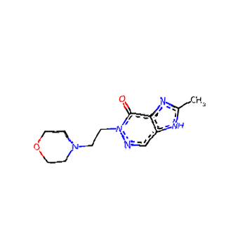 Cc1nc2c(=O)n(CCN3CCOCC3)ncc2[nH]1